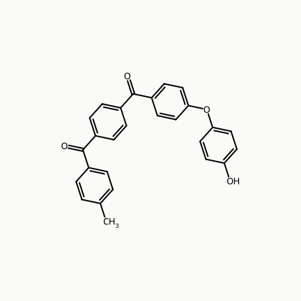 Cc1ccc(C(=O)c2ccc(C(=O)c3ccc(Oc4ccc(O)cc4)cc3)cc2)cc1